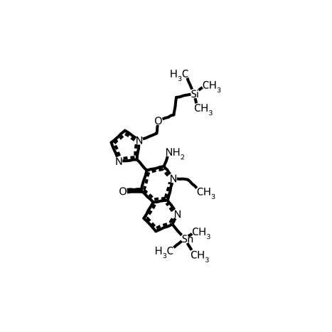 CCn1c(N)c(-c2nccn2COCC[Si](C)(C)C)c(=O)c2cc[c]([Sn]([CH3])([CH3])[CH3])nc21